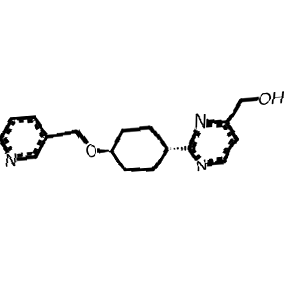 OCc1ccnc([C@H]2CC[C@H](OCc3cccnc3)CC2)n1